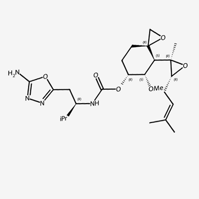 CO[C@@H]1[C@H](OC(=O)N[C@H](Cc2nnc(N)o2)C(C)C)CC[C@]2(CO2)[C@H]1[C@@]1(C)O[C@@H]1CC=C(C)C